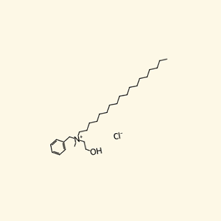 CCCCCCCCCCCCCCCCCC[N+](C)(CCO)Cc1ccccc1.[Cl-]